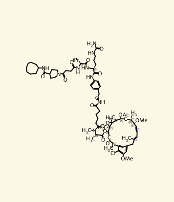 COc1cc2cc(c1Cl)N(C)C(=O)C[C@H](OC(=O)[C@H](C)N(C)C(=O)CCCCC(=O)NOCc1ccc(NC(=O)[C@H](CCCNC(N)=O)NC(=O)[C@@H](NC(=O)CCC(=O)N3CCC(C(=O)NC4CCCCCCC4)CC3)C(C)C)cc1)[C@]1(C)O[C@H]1[C@H](C)[C@@H](OC(C)=O)C[C@@H](C)[C@H](OC)/C=C/C=C(\C)C2